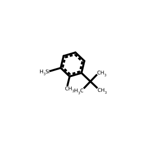 Cc1c([SiH3])cccc1C(C)(C)C